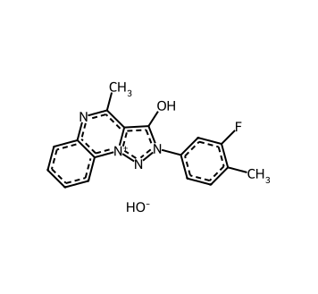 Cc1ccc(-n2n[n+]3c(c(C)nc4ccccc43)c2O)cc1F.[OH-]